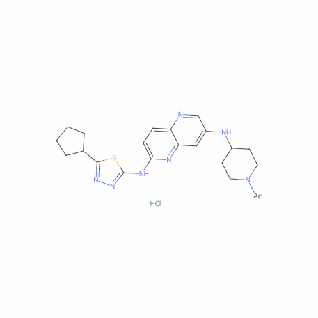 CC(=O)N1CCC(Nc2cnc3ccc(Nc4nnc(C5CCCC5)s4)nc3c2)CC1.Cl